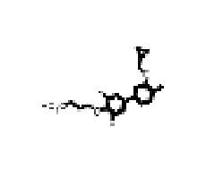 O=C(O)CCCOc1c(F)cc(-c2ccc(F)c(OCC3CC3)c2)cc1F